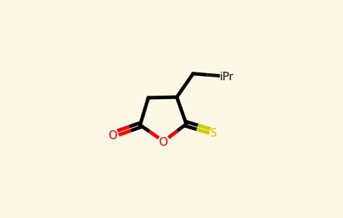 CC(C)CC1CC(=O)OC1=S